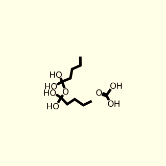 CCCCC(O)(O)OC(O)(O)CCCC.O=C(O)O